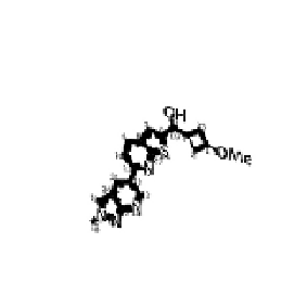 CO[C@H]1C[C@@H]([C@H](O)c2cc3ccc(-c4cnc5nn(C)cc5c4)nc3s2)C1